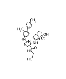 C#CCNC(=O)c1cnc(Nc2ccc(N3CCN(C)CC3)c(C)c2)nc1Nc1ccc2c(n1)[C@](O)(CC)CC2